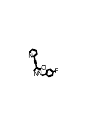 Fc1ccc(Cn2ncc(C#Cc3ccccn3)c2Cl)cc1